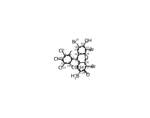 Bc1cc2c(-c3c(C)c(Cl)c(Cl)c(Cl)c3C(=O)O)c3cc(Br)c(O)c(Br)c3oc-2c(Br)c1=O